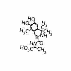 Cc1c(O)c(O)cc2c1C[C@@H](C(=O)NC(C)C(=O)O)NC2(C)C